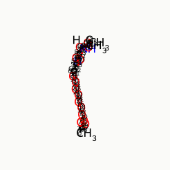 Cc1ccc(S(=O)(=O)OCCOCCOCCOCCOCCOCCOCCOc2ccc(C3CCN(S(=O)(=O)c4ccc(C(=O)NCC(=O)OC(C)(C)C)cc4)CC3)cc2)cc1